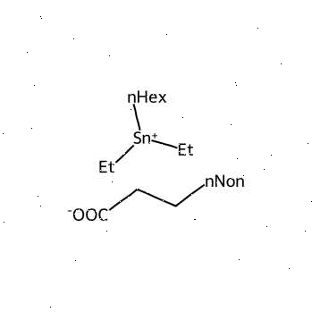 CCCCCCCCCCCC(=O)[O-].CCCCC[CH2][Sn+]([CH2]C)[CH2]C